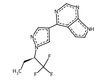 CC[C@@H](n1cc(-c2ncnc3[nH]ccc23)cn1)C(F)(F)F